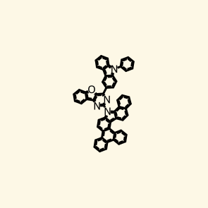 c1ccc(-n2c3ccccc3c3cc(-c4nc(-n5c6ccc7c8ccccc8c8ccccc8c7c6c6ccc7ccccc7c65)nc5c4oc4ccccc45)ccc32)cc1